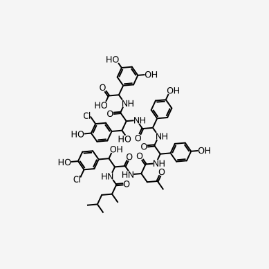 CC(=O)CC(NC(=O)C(NC(=O)C(C)CC(C)C)C(O)c1ccc(O)c(Cl)c1)C(=O)NC(C(=O)NC(C(=O)NC(C(=O)NC(C(=O)O)c1cc(O)cc(O)c1)C(O)c1ccc(O)c(Cl)c1)c1ccc(O)cc1)c1ccc(O)cc1